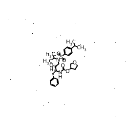 CC(C)c1ccc(S(=O)(=O)N(C[C@@H](O)[C@H](Cc2ccccc2)NC(=O)OC2CCOC2)C(C)C)cc1